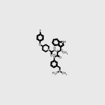 C[C@@H](c1c[nH]c2ccccc12)[C@@H](NC(=O)N1CCC(Oc2ccc(F)cc2)CC1)C(=O)Nc1cccc(CN(C)C)c1